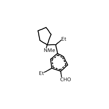 CCc1cc(C(CC)C2(NC)CCCC2)ccc1C=O